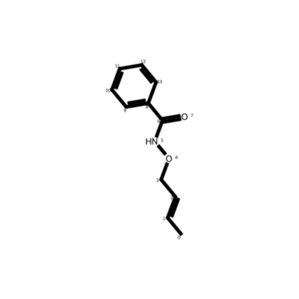 CC=CCONC(=O)c1ccccc1